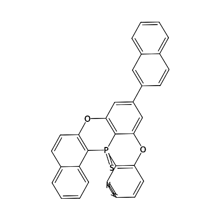 S=P12c3c(cc(-c4ccc5ccccc5c4)cc3Oc3ccc4ccccc4c31)Oc1ccc3ccccc3c12